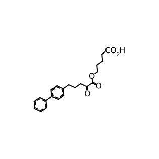 O=C(O)CCCCOC(=O)C(=O)CCCc1ccc(-c2ccccc2)cc1